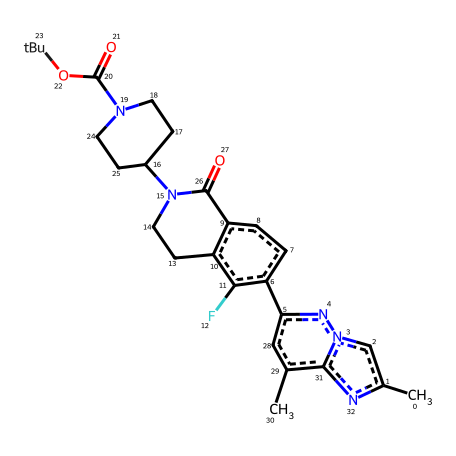 Cc1cn2nc(-c3ccc4c(c3F)CCN(C3CCN(C(=O)OC(C)(C)C)CC3)C4=O)cc(C)c2n1